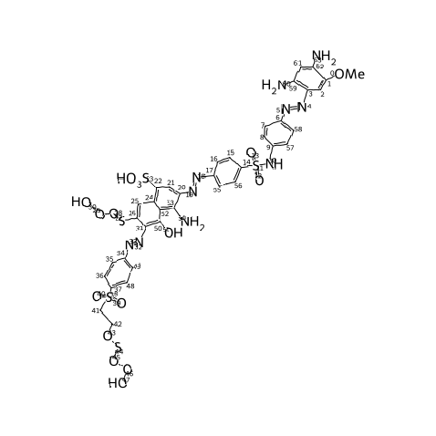 COc1cc(/N=N/c2ccc(NS(=O)(=O)c3ccc(/N=N/c4cc(S(=O)(=O)O)c5cc(SOOO)c(/N=N/c6ccc(S(=O)(=O)CCOSOOO)cc6)c(O)c5c4N)cc3)cc2)c(N)cc1N